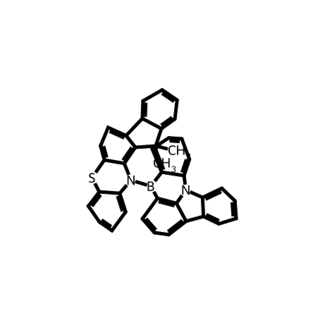 CC1(C)c2ccccc2-c2ccc3c(c21)N(B1c2ccccc2-n2c4ccccc4c4cccc1c42)c1ccccc1S3